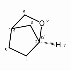 C1C[C@H]2C[C]1CO2